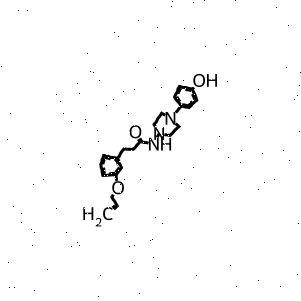 C=CCOc1cccc(CCC(=O)NN2CCN(c3ccc(O)cc3)CC2)c1